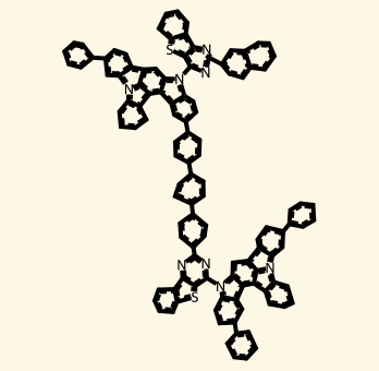 c1ccc(-c2ccc3c(c2)c2c4c5ccccc5n5c6cc(-c7ccccc7)ccc6c(cc2n3-c2nc(-c3ccc(-c6ccc(-c7ccc(-c8ccc9c(c8)c8c%10c%11ccccc%11n%11c%12cc(-c%13ccccc%13)ccc%12c(cc8n9-c8nc(-c9ccc%12ccccc%12c9)nc9c8sc8ccccc89)c%10%11)cc7)cc6)cc3)nc3c2sc2ccccc23)c45)cc1